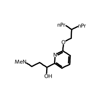 CCCC(CCC)COc1cccc(C(O)CCNC)n1